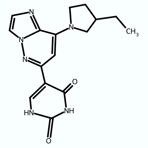 CCC1CCN(c2cc(-c3c[nH]c(=O)[nH]c3=O)nn3ccnc23)C1